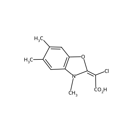 Cc1cc2c(cc1C)N(C)C(=C(Cl)C(=O)O)O2